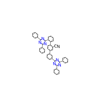 N#Cc1cc(-c2cccc(-c3nc(-c4ccccc4)nc(-c4ccccc4)n3)c2)ccc1-c1ccccc1-c1nc(-c2ccccc2)nc(-c2ccccc2)n1